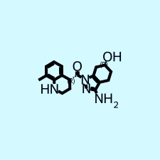 Cc1cccc2c1NCC[C@H]2C(=O)n1nc(N)c2c1C[C@H](O)CC2